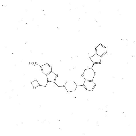 O=C(O)c1ccc2nc(CN3CCC(c4cccc5c4OC[C@@H](c4nc6ccccc6s4)O5)CC3)n(CC3CCO3)c2c1